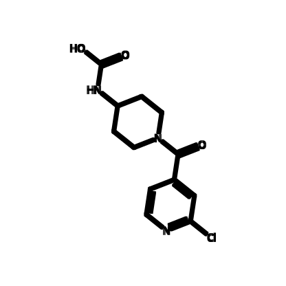 O=C(O)NC1CCN(C(=O)c2ccnc(Cl)c2)CC1